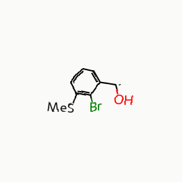 CSc1cccc([CH]O)c1Br